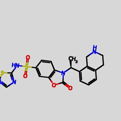 C[C@@H](c1cccc2c1CNCC2)n1c(=O)oc2cc(S(=O)(=O)Nc3ncns3)ccc21